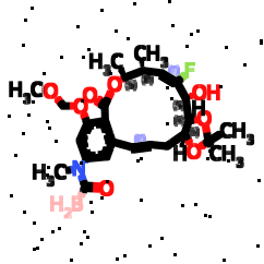 BC(=O)N(C)c1cc2c(c(OCOC)c1)C(=O)O[C@@H](C)[C@H](C)/C=C(/F)[C@@H](O)[C@H]1OC(C)(C)O[C@H]1C/C=C/2